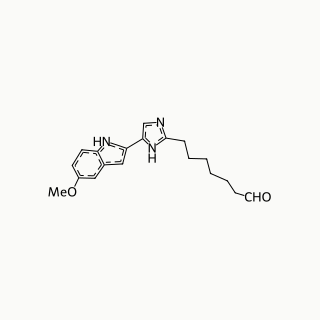 COc1ccc2[nH]c(-c3cnc(CCCCCCC=O)[nH]3)cc2c1